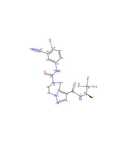 C[C@@H](NC(=O)c1cnn2c1CN(C(=O)Nc1ccc(F)c(C#N)c1)CC2)C(F)(F)F